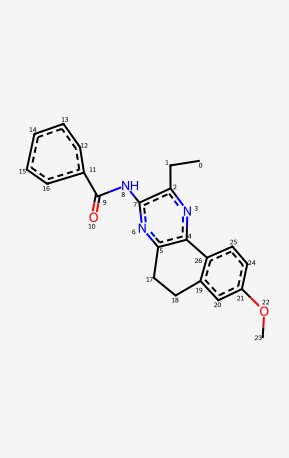 CCc1nc2c(nc1NC(=O)c1ccccc1)CCc1cc(OC)ccc1-2